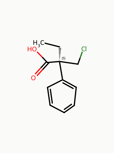 CC[C@@](CCl)(C(=O)O)c1ccccc1